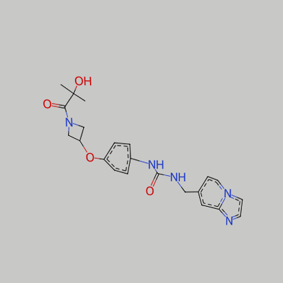 CC(C)(O)C(=O)N1CC(Oc2ccc(NC(=O)NCc3ccn4ccnc4c3)cc2)C1